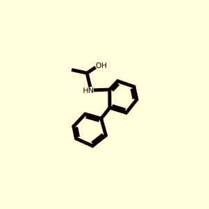 CC(O)Nc1ccccc1-c1ccccc1